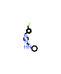 FCc1cccc(CN2CCN(CCNC3CCCCCC3)CC2)c1